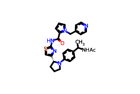 CC(=O)NC(C)c1ccc(N2CCC[C@@H]2c2csc(NC(=O)c3cccn3Cc3ccncc3)n2)cc1